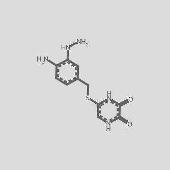 NNc1cc(CSc2c[nH]c(=O)c(=O)[nH]2)ccc1N